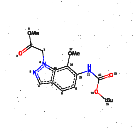 COC(=O)Cn1ncc2ccc(NC(=O)OC(C)(C)C)c(OC)c21